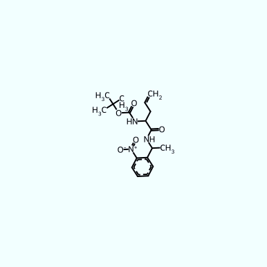 C=CCC(NC(=O)OC(C)(C)C)C(=O)NC(C)c1ccccc1[N+](=O)[O-]